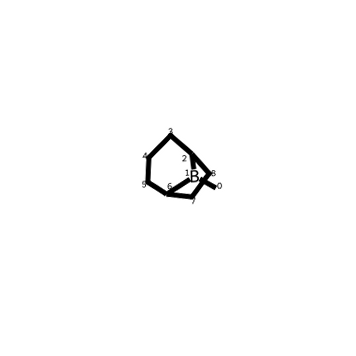 CB1C2CCCC1CC2